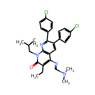 CCc1c(N=CN(C)C)c2cc(-c3ccc(Cl)cc3)c(-c3ccc(Cl)cc3)nc2n(CC(C)C)c1=O